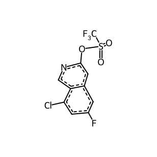 O=S(=O)(Oc1cc2cc(F)cc(Cl)c2cn1)C(F)(F)F